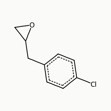 Clc1ccc(CC2CO2)cc1